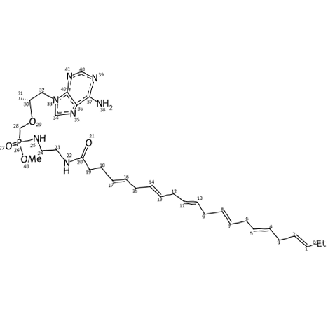 CCC=CCC=CCC=CCC=CCC=CCC=CCCC(=O)NCCNP(=O)(CO[C@H](C)Cn1cnc2c(N)ncnc21)OC